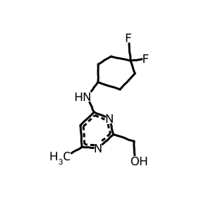 Cc1cc(NC2CCC(F)(F)CC2)nc(CO)n1